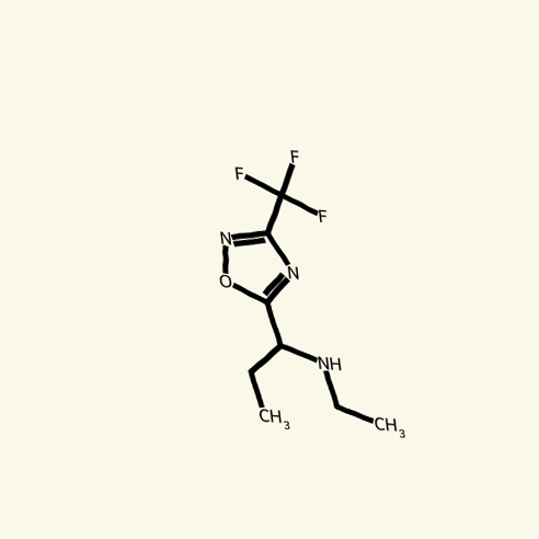 CCNC(CC)c1nc(C(F)(F)F)no1